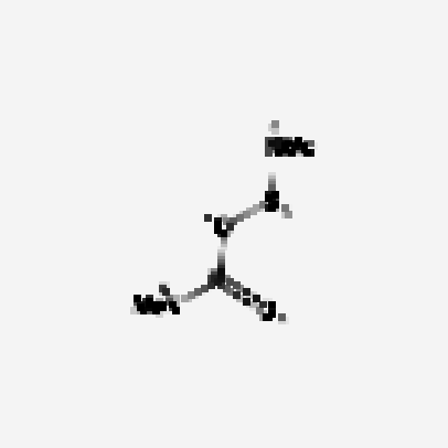 CNSOC(=O)NC